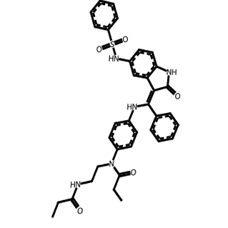 CCC(=O)NCCN(C(=O)CC)c1ccc(NC(=C2C(=O)Nc3ccc(NS(=O)(=O)c4ccccc4)cc32)c2ccccc2)cc1